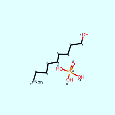 CCCCCCCCCCCCCCCCCO.O=P(O)(O)O